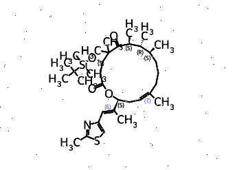 C/C1=C/C[C@@H](/C(C)=C/c2csc(C)n2)OC(=O)C[C@H](O[Si](C)(C)C(C)(C)C)C(C)(C)C(=O)[C@@H](C)[C@H](C)[C@@H](C)CCC1